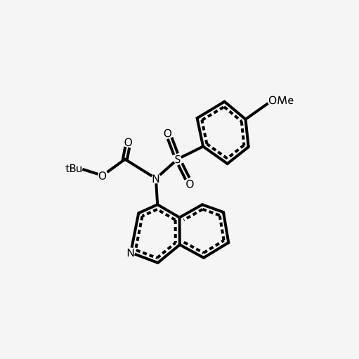 COc1ccc(S(=O)(=O)N(C(=O)OC(C)(C)C)c2cncc3ccccc23)cc1